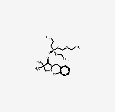 CC1(C)CON(Cc2ccccc2Cl)C1=O.CCOP(=S)(OCC)SCSCC